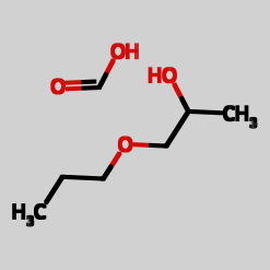 CCCOCC(C)O.O=CO